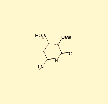 CON1C(=O)N=C(N)CC1S(=O)(=O)O